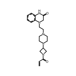 C=CC(=O)N1CC(N2CCN(CCN3CC(=O)Nc4ccccc43)CC2)C1